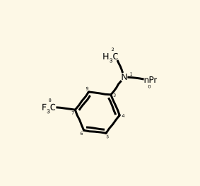 CCCN(C)c1cccc(C(F)(F)F)c1